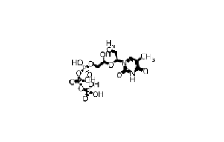 CC[C@H](O[C@H](O)COP(=O)(O)OP(=O)(O)OP(=O)(O)O)n1cc(C)c(=O)[nH]c1=O